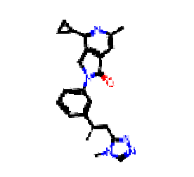 Cc1cc2c(c(C3CC3)n1)CN(c1cccc([C@H](C)Cc3nncn3C)c1)C2=O